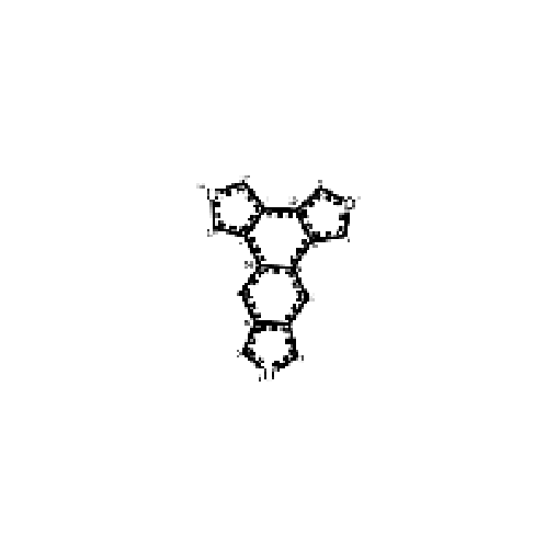 c1occ2cc3c4cocc4c4cocc4c3cc12